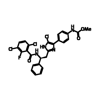 COC(=O)Nc1ccc(-c2nc(C[C@H](NC(=O)c3c(Cl)ccc(Cl)c3F)c3ccccc3)[nH]c2Cl)cc1